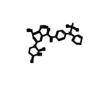 COc1c(C(=O)Nc2ccc(N(c3ccccc3)S(C)(=O)=O)cc2)cc(N2CCC(=O)NC2=O)cc1C(C)(C)C